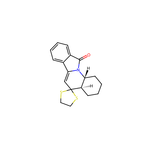 O=C1c2ccccc2C2=CC3(SCCS3)[C@@H]3CCCC[C@H]3N12